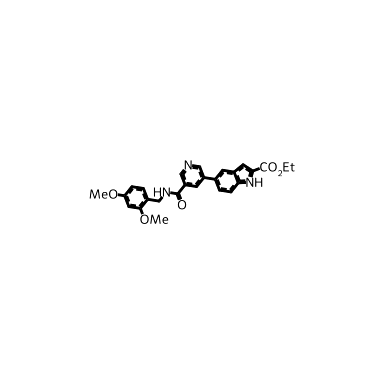 CCOC(=O)c1cc2cc(-c3cncc(C(=O)NCc4ccc(OC)cc4OC)c3)ccc2[nH]1